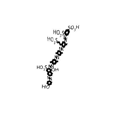 Cc1cc(N=Nc2cc(C)c(N=Nc3ccc(S(=O)(=O)O)cc3S(=O)(=O)O)cc2CCCS(=O)(=O)O)c(C)cc1N=Nc1cc(C)c(N=Nc2c(S(=O)(=O)O)cc3cc(/N=N/c4ccc(O)cc4)ccc3c2O)cc1C